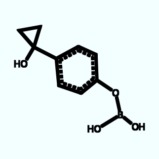 OB(O)Oc1ccc(C2(O)CC2)cc1